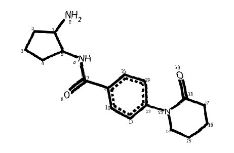 NC1CCCC1NC(=O)c1ccc(N2CCCCC2=O)cc1